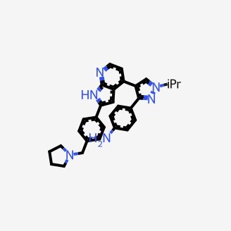 CC(C)n1cc(-c2ccnc3[nH]c(-c4ccc(CN5CCCC5)cc4)cc23)c(-c2ccc(N)cc2)n1